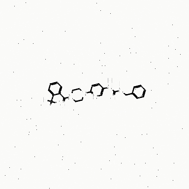 O=C(NCc1ccccc1)Nc1ccc(N2CCN(C(=O)c3ccccc3C(F)(F)F)CC2)nc1